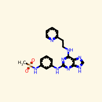 CS(=O)(=O)Nc1cccc(Nc2nc(NCCc3ccccn3)c3nc[nH]c3n2)c1